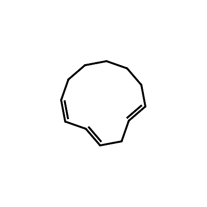 C1=C\CCCCC/C=C/C/C=C/1